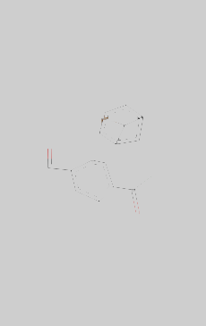 O=Cc1ccc(C(=O)Cl)cc1.SC1c2cccc1c2